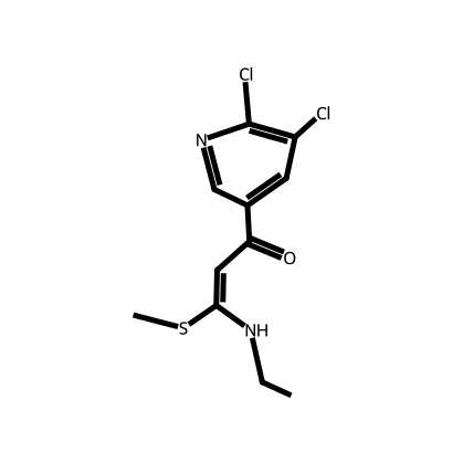 CCN/C(=C\C(=O)c1cnc(Cl)c(Cl)c1)SC